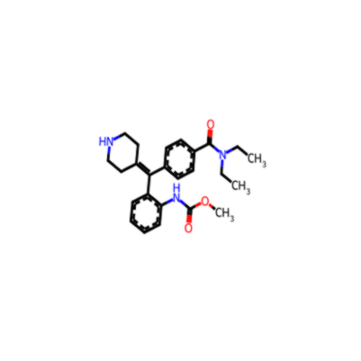 CCN(CC)C(=O)c1ccc(C(=C2CCNCC2)c2ccccc2NC(=O)OC)cc1